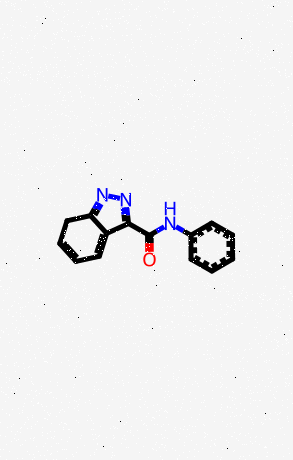 O=C(Nc1ccccc1)C1=NN=C2CC=CC=C21